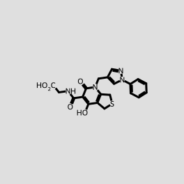 O=C(O)CNC(=O)c1c(O)c2c(n(Cc3cnn(-c4ccccc4)c3)c1=O)CSC2